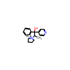 CC(C(O)(c1ccccc1)c1ccncc1)[N+]1(C)CCCC1